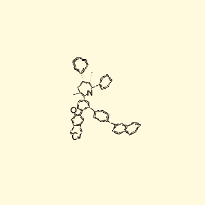 CC1=C(c2cc(-c3ccc(-c4ccc5ccccc5c4)cc3)c3c(c2)oc2cc4ccccc4cc23)N=C(c2ccccc2)[C@@H](C)[C@@H](c2ccccc2)C1